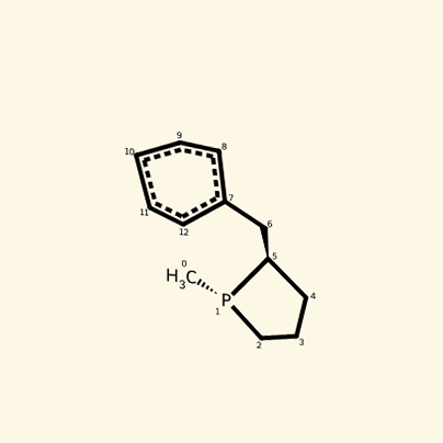 C[P@@]1CCC[C@@H]1Cc1ccccc1